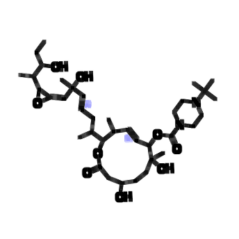 CCC(O)C(C)C1OC1=CC(C)(O)/C=C/CC(C)C1OC(=O)CC(O)CCC(C)(O)C(OC(=O)N2CCN(C(C)(C)C)CC2)/C=C/C1C